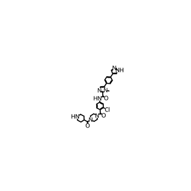 Cn1c(-c2ccc(-c3cn[nH]c3)cc2)cnc1C(=O)Nc1ccc(C(=O)N2CCN(C(=O)C3CCNCC3)CC2)c(Cl)c1